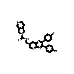 O=C(NCc1cnc2nc(-c3ccc(F)cc3)c(-c3ccc(F)cc3)nc2c1)N1Cc2ccncc2C1